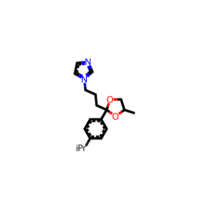 CC1COC(CCCn2ccnc2)(c2ccc(C(C)C)cc2)O1